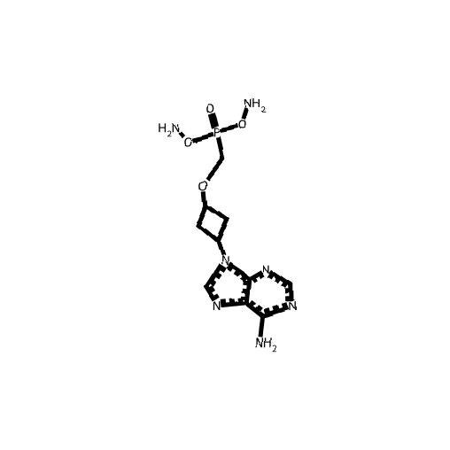 NOP(=O)(COC1CC(n2cnc3c(N)ncnc32)C1)ON